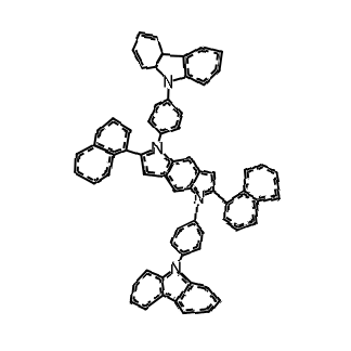 C1=CC2c3ccccc3N(c3ccc(-n4c(-c5cccc6ccccc56)cc5cc6c(cc(-c7cccc8ccccc78)n6-c6ccc(-n7c8ccccc8c8ccccc87)cc6)cc54)cc3)C2C=C1